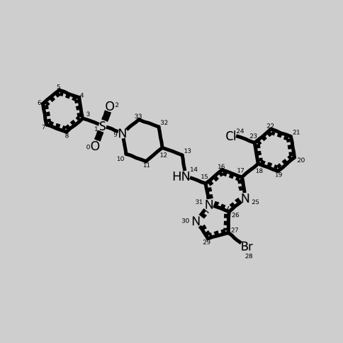 O=S(=O)(c1ccccc1)N1CCC(CNc2cc(-c3ccccc3Cl)nc3c(Br)cnn23)CC1